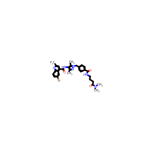 Cc1nn(Cc2ccc(C(=O)NCCCC(=O)N(C)C)cc2)c(C)c1NC(=O)c1cc(C(F)(F)F)nc2ccc(Br)cc12